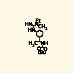 CCN(C)C(=N)Nc1cccc(C(C)NC(=O)OC(C)(C)C)c1